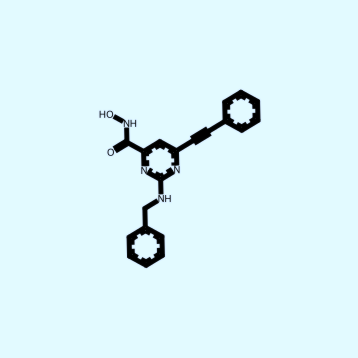 O=C(NO)c1cc(C#Cc2ccccc2)nc(NCc2ccccc2)n1